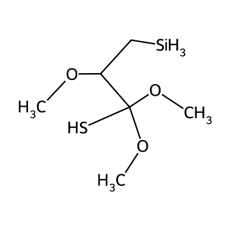 COC(C[SiH3])C(S)(OC)OC